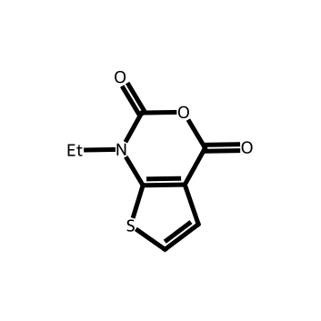 CCn1c(=O)oc(=O)c2ccsc21